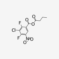 CCCC(=O)OC(=O)c1cc([N+](=O)[O-])c(F)c(Cl)c1F